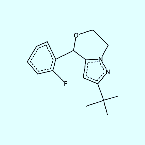 CC(C)(C)c1cc2n(n1)CCOC2c1ccccc1F